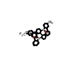 CC(C)(C)c1ccc2c(c1)c1ccccc1n2-c1ccc(-c2ccc(C(F)(F)F)cc2C#N)cc1-c1c(C#N)cccc1-n1c2ccccc2c2cc(C(C)(C)C)ccc21